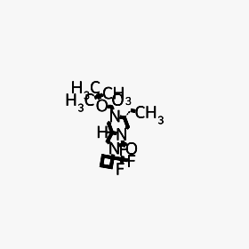 CC[C@@H]1CN2C(=O)N(C3(C(F)(F)F)CCC3)C[C@@H]2CN1C(=O)OC(C)(C)C